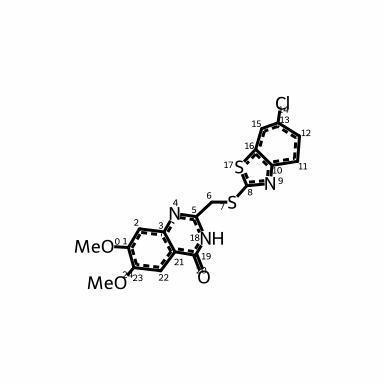 COc1cc2nc(CSc3nc4ccc(Cl)cc4s3)[nH]c(=O)c2cc1OC